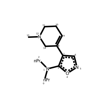 CCCN(CCC)c1oncc1C1=CCCN(C)C1